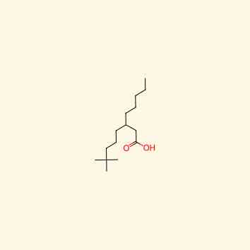 CCCCCC(CCCC(C)(C)C)CC(=O)O